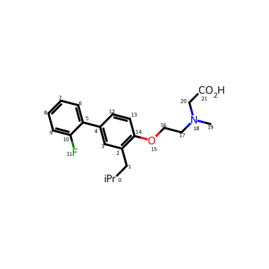 CC(C)Cc1cc(-c2ccccc2F)ccc1OCCN(C)CC(=O)O